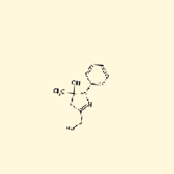 OCC1=NN(c2ccccc2)C(O)(C(Cl)(Cl)Cl)C1